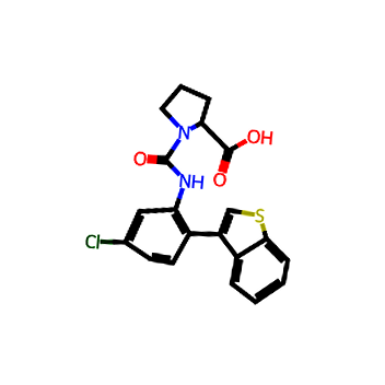 O=C(O)C1CCCN1C(=O)Nc1cc(Cl)ccc1-c1csc2ccccc12